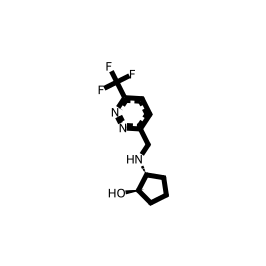 O[C@@H]1CCC[C@H]1NCc1ccc(C(F)(F)F)nn1